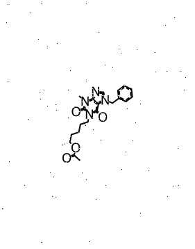 CC(=O)O[C@H](C)CCCCn1c(=O)c2c(ncn2Cc2ccccc2)n(C)c1=O